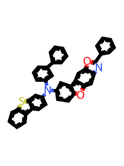 c1ccc(-c2cccc(N(c3ccc4c(c3)sc3ccccc34)c3ccc4oc5cc6nc(-c7ccccc7)oc6cc5c4c3)c2)cc1